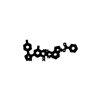 CCCCCC1(Cc2cccc3c2ccn3OC(=O)c2ccccc2)Nc2cc(-c3nccn3-c3ccc(C)cc3)cc(C)c2N1